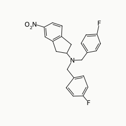 O=[N+]([O-])c1ccc2c(c1)CC(N(Cc1ccc(F)cc1)Cc1ccc(F)cc1)C2